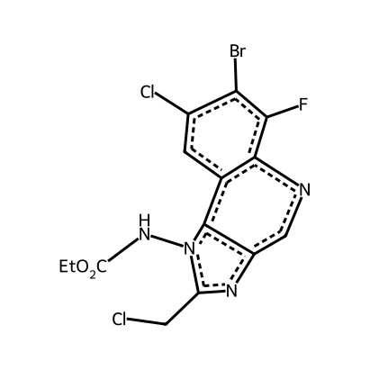 CCOC(=O)Nn1c(CCl)nc2cnc3c(F)c(Br)c(Cl)cc3c21